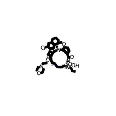 CCC(O)N[S@]1(=O)=NC(=O)c2ccc3c(c2)N(C[C@@H]2CC[C@H]2[C@@H](OCCN2CCOCC2)/C=C/CCC1)C[C@@]1(CCCc2cc(Cl)ccc21)CO3